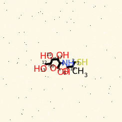 CC(CS)C(=O)NC1C(O)OC(CO)[C@@H](O)[C@@H]1O